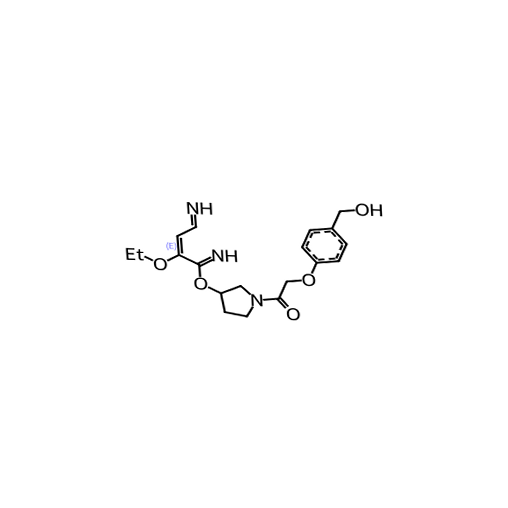 CCO/C(=C/C=N)C(=N)OC1CCN(C(=O)COc2ccc(CO)cc2)C1